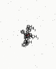 CC(C)OC(=O)CN(CC(=O)OC(C)C)C12C(=O)N(c3ccc(NS(=O)(=O)c4ccccc4)cc3)N(C1C)C2c1ccccc1